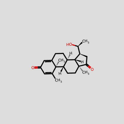 CC1=CC(=O)C=C2CC[C@H]3[C@@H]4[C@@H]([C@H](C)O)CC(=O)[C@@]4(C)CC[C@@H]3[C@@]12C